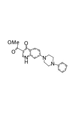 COC(=O)c1c[nH]c2cc(N3CCN(c4ccccc4)CC3)ccc2c1=O